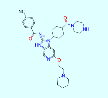 N#Cc1ccc(C(=O)/N=c2\[nH]c3cnc(OCCN4CCCCC4)cc3n2C2CCC(C(=O)N3CCNCC3)CC2)cc1